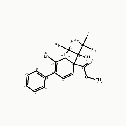 COC(=O)C1(C(O)(C(F)(F)F)C(F)(F)F)C=CC(c2ccccc2)=C(Br)C1